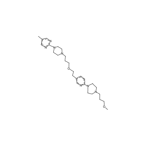 COCCCN1CCN(c2ccc(CCOCCCN3CCN(c4ncc(C)cn4)CC3)cn2)CC1